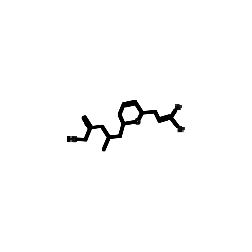 C=C(CO)CC(C)CC1CC=CC(CC=C(Br)Br)O1